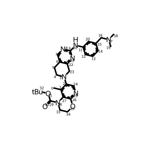 Cc1c(N2CCc3cnc(Nc4cccc(CN(C)C)c4)nc3C2)cnc2c1N(C(=O)OC(C)(C)C)CCO2